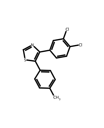 Cc1ccc(-c2s[c]nc2-c2ccc(Cl)c(Cl)c2)cc1